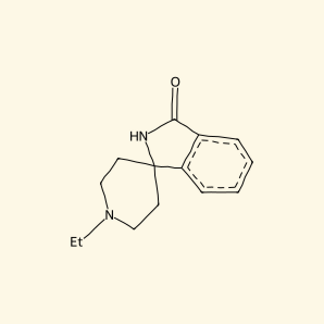 CCN1CCC2(CC1)NC(=O)c1ccccc12